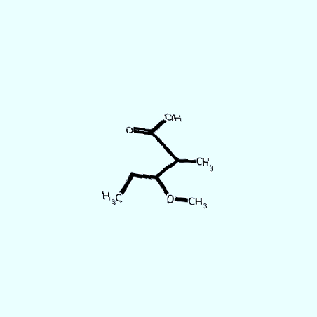 CCC(OC)C(C)C(=O)O